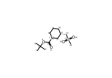 CC(C)(C)OC(=O)N1CCC[C@H](CS(C)(=O)=O)C1